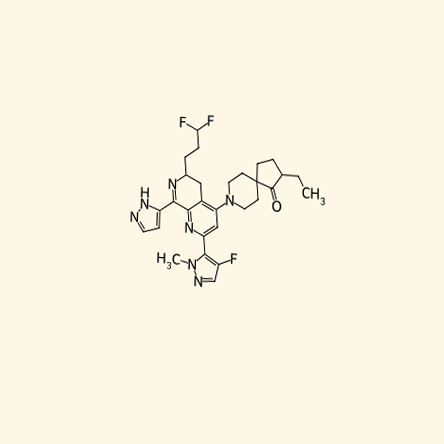 CCC1CCC2(CCN(c3cc(-c4c(F)cnn4C)nc4c3CC(CCC(F)F)N=C4c3ccn[nH]3)CC2)C1=O